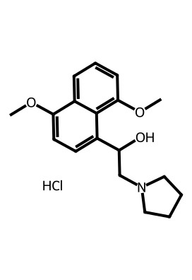 COc1ccc(C(O)CN2CCCC2)c2c(OC)cccc12.Cl